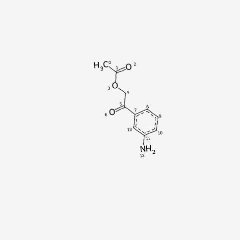 CC(=O)OCC(=O)c1cccc(N)c1